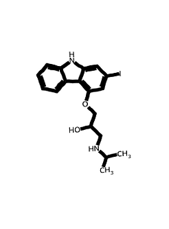 CC(C)NCC(O)COc1cc(I)cc2[nH]c3ccccc3c12